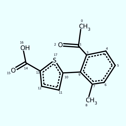 CC(=O)c1cccc(C)c1-c1ccc(C(=O)O)s1